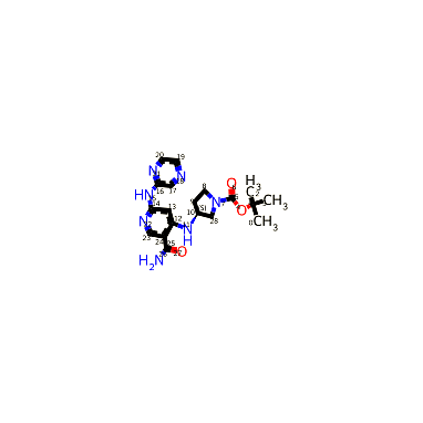 CC(C)(C)OC(=O)N1CC[C@H](Nc2cc(Nc3cnccn3)ncc2C(N)=O)C1